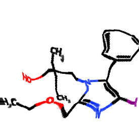 CCOCc1nc(I)c(-c2ccccc2)n1CC(C)(C)O